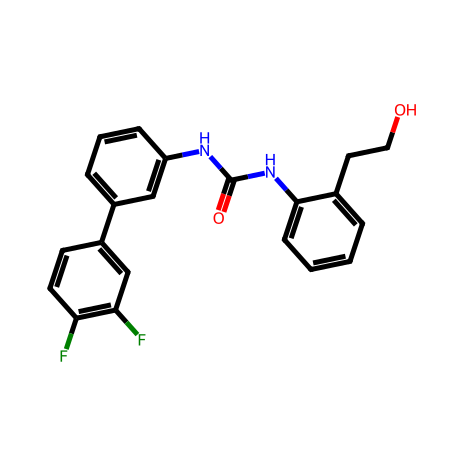 O=C(Nc1cccc(-c2ccc(F)c(F)c2)c1)Nc1ccccc1CCO